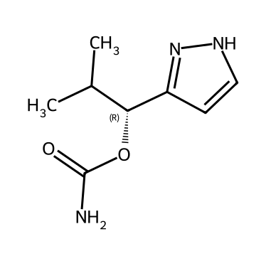 CC(C)[C@@H](OC(N)=O)c1cc[nH]n1